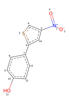 O=[N+]([O-])c1csc(-c2ccc(O)cc2)c1